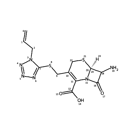 C=CCn1nnnc1SCC1=C(C(=O)O)N2C(=O)C(N)[C@@H]2SC1